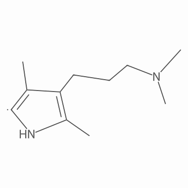 Cc1[c][nH]c(C)c1CCCN(C)C